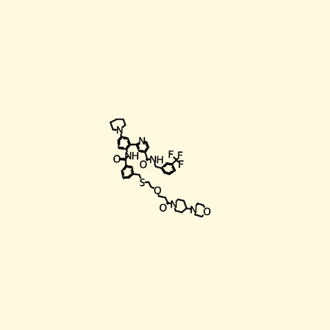 O=C(NCc1cccc(C(F)(F)F)c1)c1ccnc(-c2cc(N3CCCCC3)ccc2NC(=O)c2cccc(CSCCOCCC(=O)N3CCC(N4CCOCC4)CC3)c2)c1